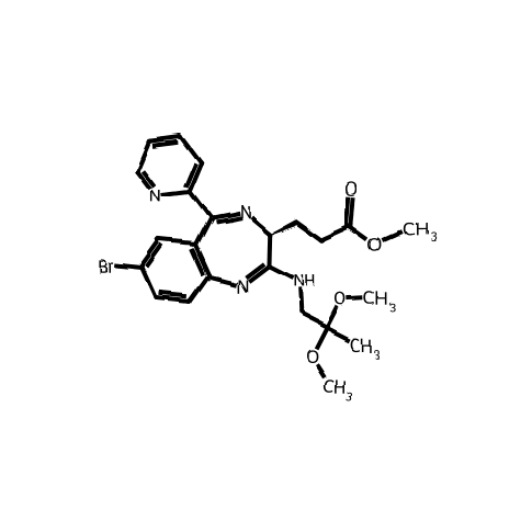 COC(=O)CC[C@@H]1N=C(c2ccccn2)c2cc(Br)ccc2N=C1NCC(C)(OC)OC